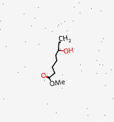 C=CC(O)CCCCC(=O)OC